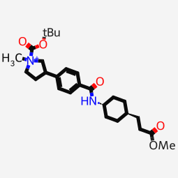 COC(=O)CC[C@H]1CC[C@H](NC(=O)c2ccc(C3CC[N+](C)(C(=O)OC(C)(C)C)C3)cc2)CC1